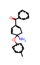 Cc1ccc(OC2(N)C=CC(C(=O)c3ccccc3)=CC2)cc1